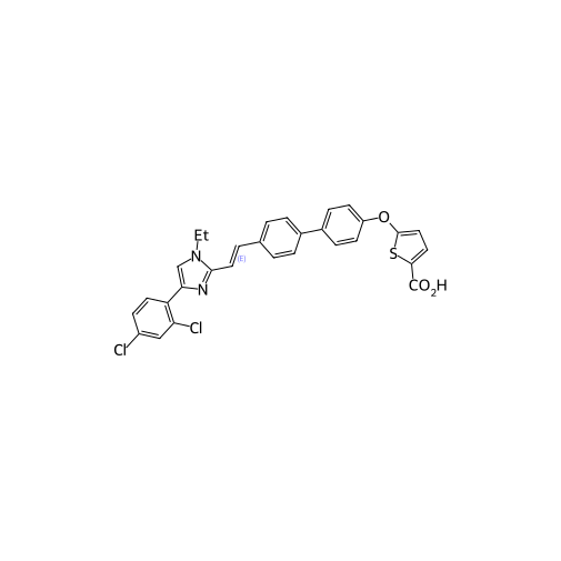 CCn1cc(-c2ccc(Cl)cc2Cl)nc1/C=C/c1ccc(-c2ccc(Oc3ccc(C(=O)O)s3)cc2)cc1